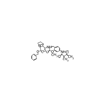 C=C(Cl)C(=C)C(=O)Nc1ccc(C[C@H](NC(=O)C2C3CCC(CC3)N2C(=O)OCc2ccccc2)C(=O)OC)cc1